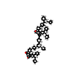 c1ccc(-c2nc(-c3ccc(-c4cccc5c4Oc4c(ccc6c(-c7ccccc7)nc7ccccc7c46)C54c5ccccc5-c5cc(-c6ccc(-c7cc(-c8ccc(-c9cccc%10c9Oc9c(ccc%11c(-c%12ccccc%12)nc%12ccccc%12c9%11)C%109c%10ccccc%10-c%10ccccc%109)cc8)cc(-c8ccccn8)n7)nc6)ccc54)cc3)c3ccccc3n2)cc1